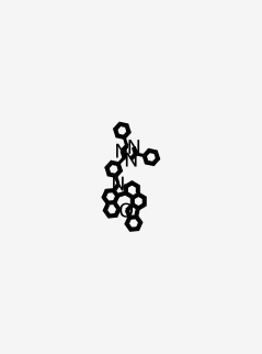 c1ccc(-c2nc(-c3ccccc3)nc(-c3cccc(-n4c5ccc6ccccc6c5c5c6c(ccc7c8ccccc8oc76)ccc54)c3)n2)cc1